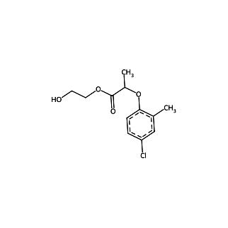 Cc1cc(Cl)ccc1OC(C)C(=O)OCCO